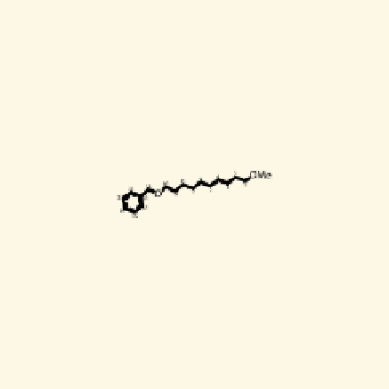 COCCCCCCCCCCOCc1ccccc1